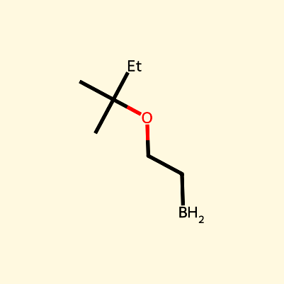 BCCOC(C)(C)CC